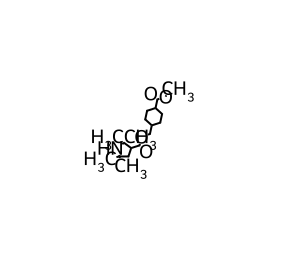 COC(=O)C1CCC(COC(=O)C2CC(C)(C)NC2(C)C)CC1